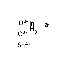 [InH3].[O-2].[O-2].[Sn+4].[Ta]